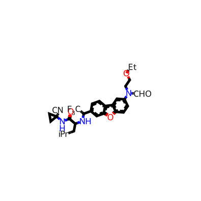 CCOCCN(C=O)c1ccc2oc3cc(C(NC(CC(C)C)C(=O)NC4(C#N)CC4)C(F)(F)F)ccc3c2c1